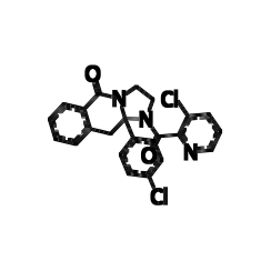 O=C1c2ccccc2CC2(c3ccc(Cl)cc3)N1CCN2C(=O)c1ncccc1Cl